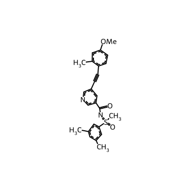 COc1ccc(C#Cc2cncc(C(=O)N=S(C)(=O)c3cc(C)cc(C)c3)c2)c(C)c1